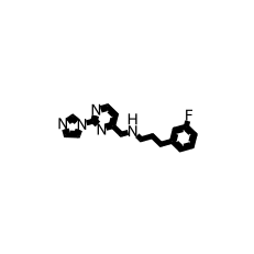 Fc1cccc(CCCNCc2ccnc(-n3ccnc3)n2)c1